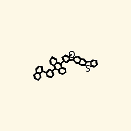 C1=Cc2cccc(-c3cccc(-c4c5c(c(-c6ccc7oc8cc9cc%10c(cc9cc8c7c6)sc6ccccc6%10)c6ccccc46)=CCCC=5)c3)c2CC1